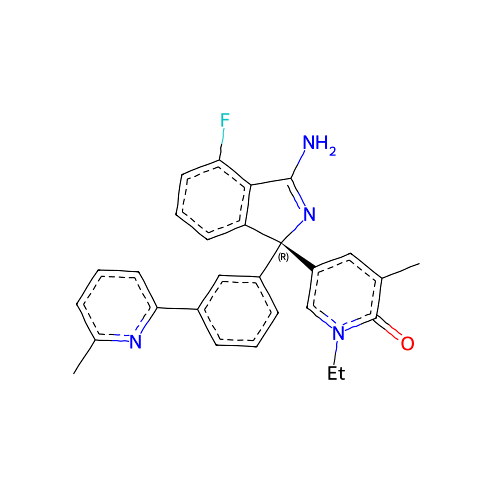 CCn1cc([C@]2(c3cccc(-c4cccc(C)n4)c3)N=C(N)c3c(F)cccc32)cc(C)c1=O